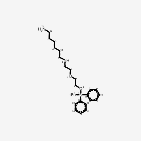 CC(C)(C)[Si](OCCOCCNCCCCCCN)(c1ccccc1)c1ccccc1